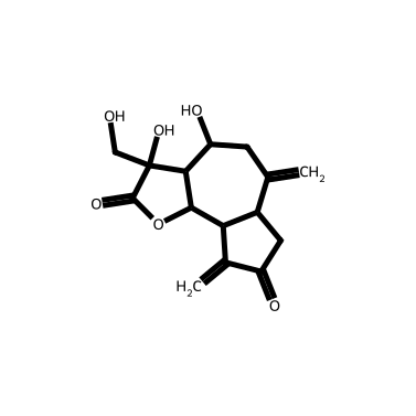 C=C1CC(O)C2C(OC(=O)C2(O)CO)C2C(=C)C(=O)CC12